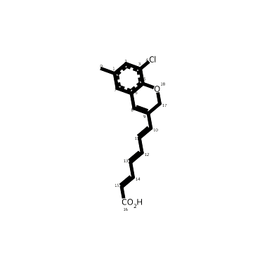 Cc1cc(Cl)c2c(c1)C=C(C=CC=CC=CC(=O)O)CO2